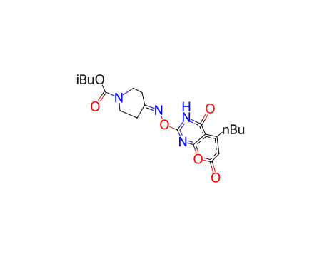 CCCCc1cc(=O)oc2nc(ON=C3CCN(C(=O)OCC(C)C)CC3)[nH]c(=O)c12